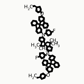 C=Cc1ccc(Oc2ccc(C3(c4ccccc4F)c4ccccc4-c4ccc(N(c5ccc(F)cc5)c5ccc6c(c5)C5(CC6(C)C)CC(C)(C)c6ccc(N(c7ccc(F)cc7)c7ccc8c(c7)C(c7ccc(Oc9ccc(C=C)cc9)cc7)(c7ccccc7F)c7ccccc7-8)cc65)cc43)cc2)cc1